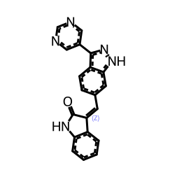 O=C1Nc2ccccc2/C1=C/c1ccc2c(-c3cncnc3)n[nH]c2c1